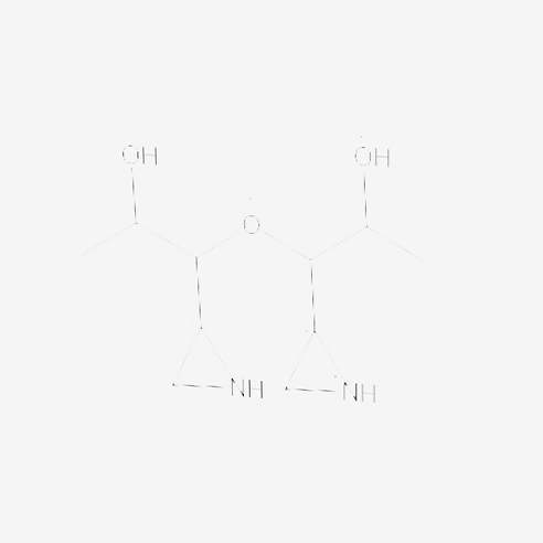 CC(O)C(OC(C(C)O)C1CN1)C1CN1